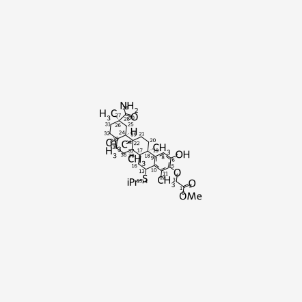 COC(=O)COc1c(O)cc2c(c1C)C(SC(C)C)C=C1[C@@]2(C)CC[C@@]2(C)[C@@H]3C[C@](C)(C(N)=O)CC[C@]3(C)CC[C@]12C